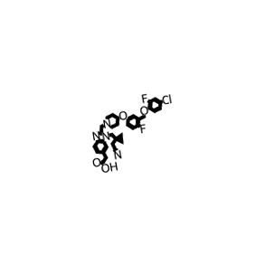 N#CCC1(Cn2c(CN3CCC(Oc4ccc(F)c(COc5ccc(Cl)cc5F)c4)CC3)nc3ccc(CC(=O)O)cc32)CC1